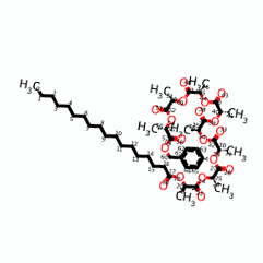 CCCCCCCCCCCCCCCCCC(=O)OC(C)C(=O)O[C@@H](C)C(=O)O[C@@H](C)C(=O)O[C@@H](C)C(=O)O[C@@H](C)C(=O)O[C@@H](C)C(=O)O[C@@H](C)C(=O)O[C@@H](C)C(=O)OCc1ccccc1